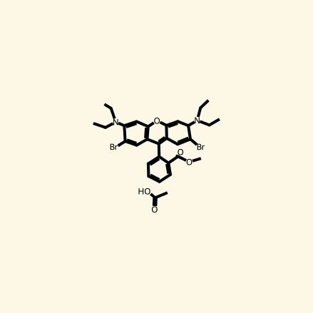 CC(=O)O.CCN(CC)c1cc2c(cc1Br)C(c1ccccc1C(=O)OC)=C1C=C(Br)C(N(CC)CC)C=C1O2